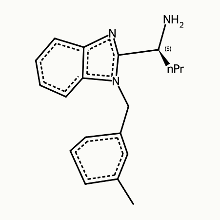 CCC[C@H](N)c1nc2ccccc2n1Cc1cccc(C)c1